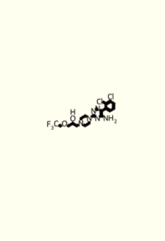 Nc1nc(N2CCN(C[C@H](O)COCC(F)(F)F)CC2)nnc1-c1cccc(Cl)c1Cl